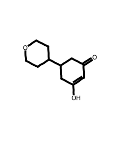 O=C1C=C(O)CC(C2CCOCC2)C1